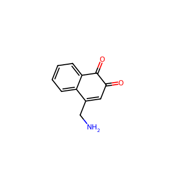 NCC1=CC(=O)C(=O)c2ccccc21